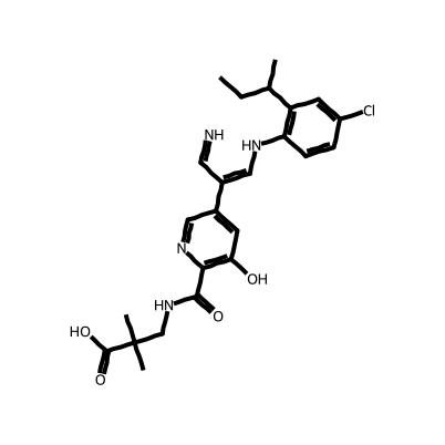 CCC(C)c1cc(Cl)ccc1N/C=C(\C=N)c1cnc(C(=O)NCC(C)(C)C(=O)O)c(O)c1